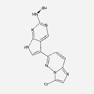 CC[C@H](C)Nc1ncc2c(-c3ccc4ncc(Cl)n4n3)c[nH]c2n1